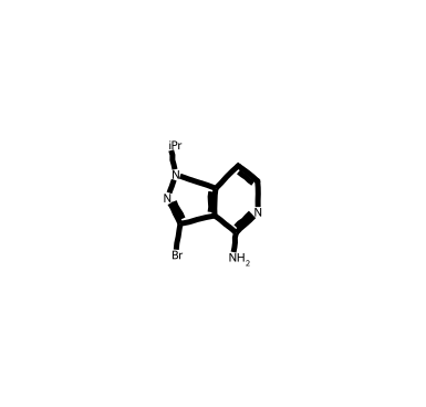 CC(C)n1nc(Br)c2c(N)nccc21